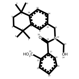 CC1(C)CCC(C)(C)c2cc(CN(CO)C(=O)c3ccccc3C(=O)O)ccc21